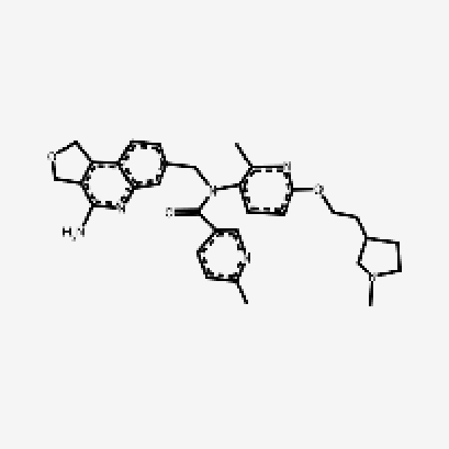 Cc1ccc(C(=O)N(Cc2ccc3c4c(c(N)nc3c2)COC4)c2ccc(OCCC3CCN(C)C3)nc2C)cn1